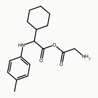 Cc1ccc(NC(C(=O)OC(=O)CN)C2CCCCC2)cc1